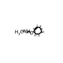 CNCCOC1C#CCCCCC1